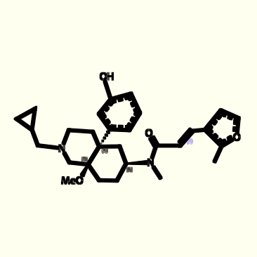 CO[C@]12CC[C@H](N(C)C(=O)/C=C/c3ccoc3C)C[C@]1(c1cccc(O)c1)CCN(CC1CC1)C2